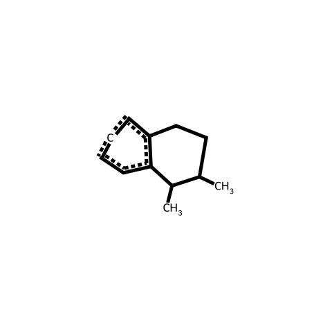 CC1CCc2ccccc2C1C